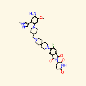 COc1cc(N2CCC(CN3CCC4(CC3)CCN(c3cc5c(cc3F)C(=O)N(C3CCC(=O)NC3=O)C5=O)CC4)CC2)c(-c2cnn(C)c2)cc1N